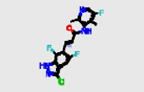 Cc1ncc(F)c(C)c1NC(=O)/C=C/c1c(F)cc2c(Cl)n[nH]c2c1F